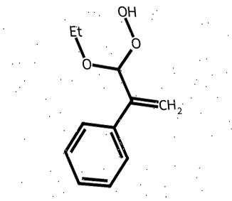 C=C(c1ccccc1)C(OO)OCC